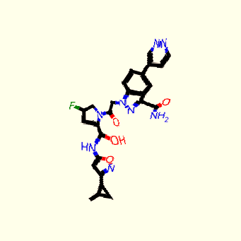 CC1CC1c1cc(NC(O)C2CC(F)CN2C(=O)Cn2nc(C(N)=O)c3cc(-c4ccnnc4)ccc32)on1